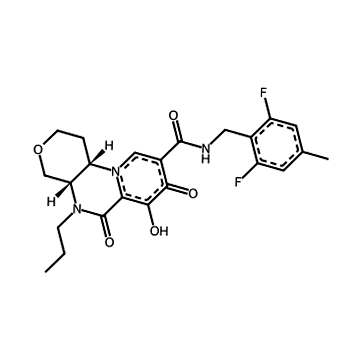 CCCN1C(=O)c2c(O)c(=O)c(C(=O)NCc3c(F)cc(C)cc3F)cn2[C@H]2CCOC[C@H]21